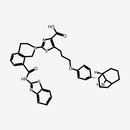 NC1C2CCC[C@H]1[C@@H](c1ccc(OCCCc3sc(N4CCc5cccc(C(=O)Nc6nc7ccccc7s6)c5C4)nc3C(=O)O)cc1)CC2